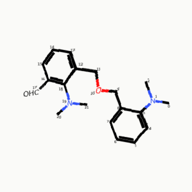 CN(C)c1ccccc1COCc1cccc(C=O)c1N(C)C